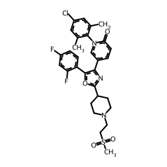 Cc1cc(Cl)cc(C)c1-n1cc(-c2nc(C3CCN(CCS(C)(=O)=O)CC3)oc2-c2ccc(F)cc2F)ccc1=O